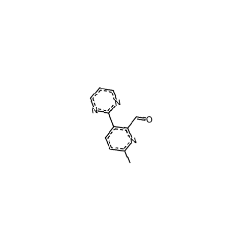 Cc1ccc(-c2ncccn2)c(C=O)n1